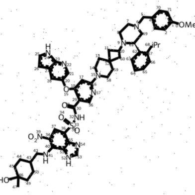 COc1ccc(CN2CCN(C3CC4(CCN(c5cc(Oc6cnc7[nH]ccc7c6)c(C(=O)NS(=O)(=O)c6cc([N+](=O)[O-])c(NCC7CCC(C)(O)CC7)c7[nH]cnc67)cn5)CC4)C3)[C@H](c3ccccc3C(C)C)C2)cc1